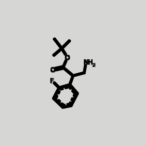 CC(C)(C)OC(=O)C(CN)c1ccccc1F